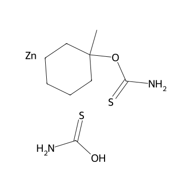 CC1(OC(N)=S)CCCCC1.NC(O)=S.[Zn]